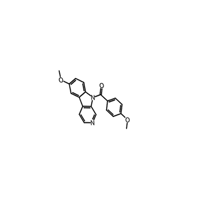 COc1ccc(C(=O)n2c3ccc(OC)cc3c3ccncc32)cc1